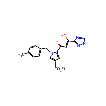 CCOC(=O)c1cc(C(=O)C=C(O)c2nc[nH]n2)n(Cc2ccc(C)cc2)c1